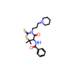 CC1(C)SC(=S)N(CCCN2CCCCC2)C(=O)C1NC(=O)c1ccccc1